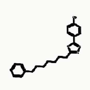 Oc1ccc(-c2nnc(CCCCCCCc3ccccc3)o2)cc1